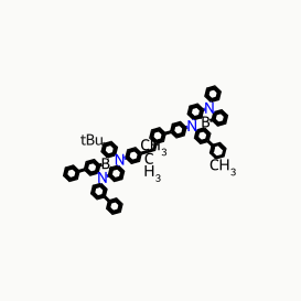 CC1C=C(c2ccc3c(c2)B2c4ccccc4N(c4ccccc4)c4cccc(c42)N3c2ccc(-c3cccc(CC(C)(C)c4ccc(N5c6ccc(C(C)(C)C)cc6B6c7ccc(-c8ccccc8)cc7N(c7cccc(-c8ccccc8)c7)c7cccc5c76)cc4)c3)cc2)C=CC1